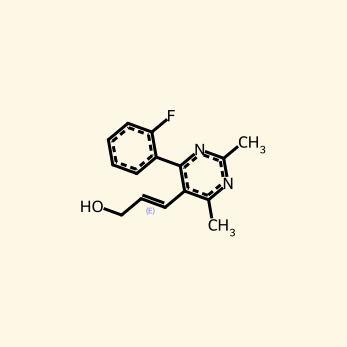 Cc1nc(C)c(/C=C/CO)c(-c2ccccc2F)n1